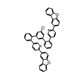 Clc1cc(-c2ccccc2-c2ccc(-c3ccc4oc5ccccc5c4c3)nc2)cc(-c2ccccc2-c2ccc(-c3ccc4oc5ccccc5c4c3)nc2)c1